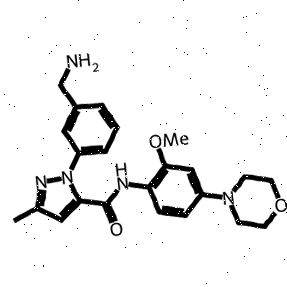 COc1cc(N2CCOCC2)ccc1NC(=O)c1cc(C)nn1-c1cccc(CN)c1